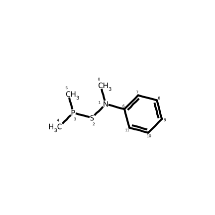 CN(SP(C)C)c1ccccc1